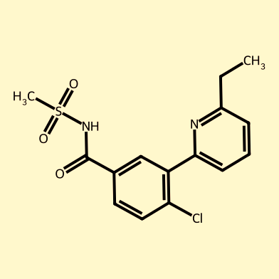 CCc1cccc(-c2cc(C(=O)NS(C)(=O)=O)ccc2Cl)n1